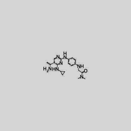 C=C(N)c1cnc(Nc2ccc(NCC(=O)N(C)C)cc2)nc1NC1CC1